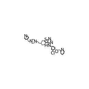 Clc1cc(Nc2ncnc3sc4c(c23)CCC(CCN2CCN(Cc3ccncc3)CC2)C4)ccc1OCc1ccccn1